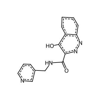 O=C(NCc1cccnc1)c1nnc2ccccc2c1O